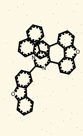 c1ccc(-c2nc(-c3ccc4oc5ccccc5c4c3)nc(-c3cccc4oc5cccc(-c6ccc7ccccc7c6)c5c34)n2)cc1